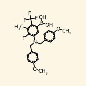 COc1ccc(CN(Cc2ccc(OC)cc2)c2cc(B(O)O)c(C(F)(F)F)c(C)c2F)cc1